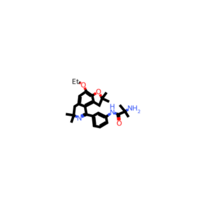 CCOc1cc2c(c3c1OC(C)(C)C3)C(c1cccc(NC(=O)C(C)(C)N)c1)=NC(C)(C)C2